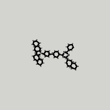 c1ccc(-c2nc(-c3ccc(-c4ccc(-n5c6cc7ccccc7cc6c6ccc7ccccc7c65)cc4)cc3)nc(-c3ccc4ccccc4c3)n2)cc1